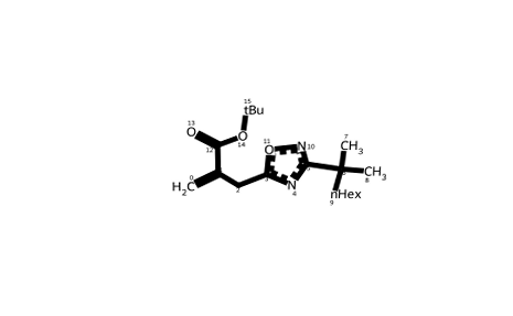 C=C(Cc1nc(C(C)(C)CCCCCC)no1)C(=O)OC(C)(C)C